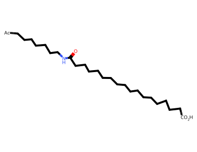 CC(=O)CCCCCCCNC(=O)CCCCCCCCCCCCCCCCC(=O)O